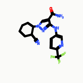 N#CC1CCCCC1n1cc(C(N)=O)c(Nc2ccc(C(F)(F)F)nc2)n1